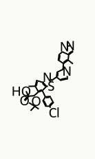 Cc1cc2nc(-c3ccnc(-c4ccc5nn(C)cc5c4C)c3)sc2c(-c2ccc(Cl)cc2)c1[C@H](OC(C)(C)C)C(=O)O